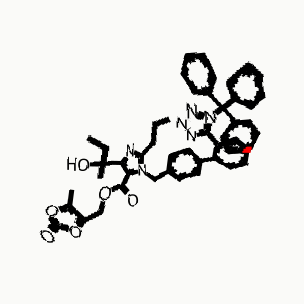 CCCc1nc(C(C)(O)CC)c(C(=O)OCc2oc(=O)oc2C)n1Cc1ccc(-c2ccccc2-c2nnnn2C(c2ccccc2)(c2ccccc2)c2ccccc2)cc1